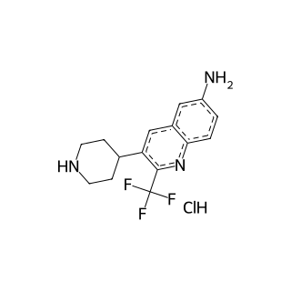 Cl.Nc1ccc2nc(C(F)(F)F)c(C3CCNCC3)cc2c1